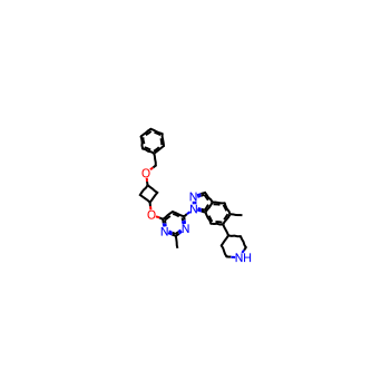 Cc1nc(OC2CC(OCc3ccccc3)C2)cc(-n2ncc3cc(C)c(C4CCNCC4)cc32)n1